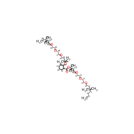 CCCC[Si](C)(C)CCOCCOCCOCC[Si](C)(C)OC(=O)c1ccccc1O[Si](C)(C)CCOCCOCCOCC[Si](C)(C)CC